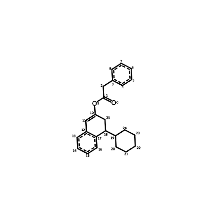 O=C(Cc1ccccc1)OC1=Cc2ccccc2C(C2CCCCC2)C1